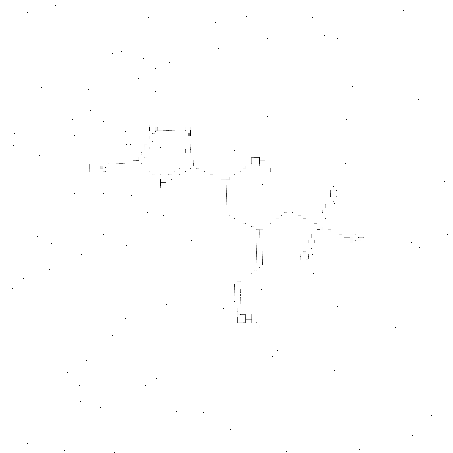 C=C/C=C(\C=C(/C)c1noc(C(F)(F)F)n1)CS(=O)(=O)C(C)C